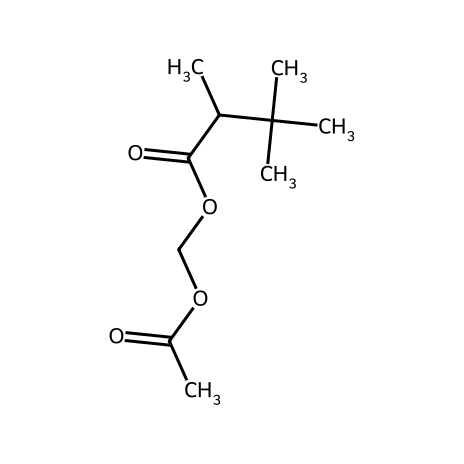 CC(=O)OCOC(=O)C(C)C(C)(C)C